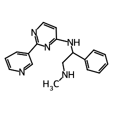 CNCC(Nc1ccnc(-c2cccnc2)n1)c1ccccc1